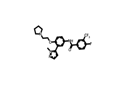 Cn1nccc1-c1cc(NC(=O)c2ccc(F)c(C(F)(F)F)c2)ccc1OCCN1CCCC1